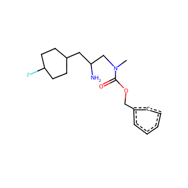 CN(CC(N)CC1CCC(F)CC1)C(=O)OCc1ccccc1